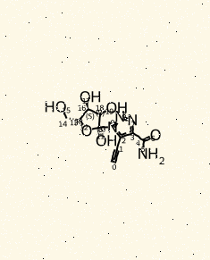 C#Cc1c(C(N)=O)nnn1[C@@]1(O)O[C@H](CO)[C@@H](O)[C@H]1O